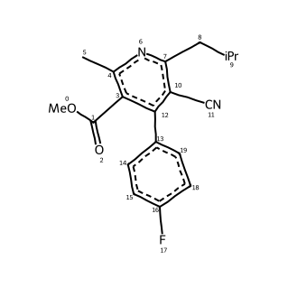 COC(=O)c1c(C)nc(CC(C)C)c(C#N)c1-c1ccc(F)cc1